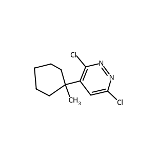 CC1(c2cc(Cl)nnc2Cl)CCCCC1